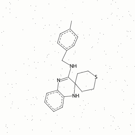 Cc1ccc(CNC2=Nc3ccccc3NC23CCSCC3)cc1